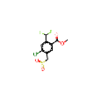 COC(=O)c1cc(C[SH](=O)=O)c(Cl)cc1C(F)F